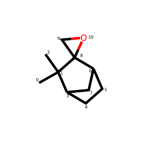 CC1(C)C2CCC(C2)C12CO2